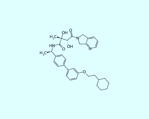 C[C@@H](NC(=O)[C@](C)(O)[C@@H](O)C(=O)N1Cc2cccnc2C1)c1ccc(-c2cccc(OCCC3CCCCC3)c2)cc1